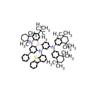 CC(C)(C)c1cc2c3c(c1)C1(C)CCCCC1(C)N3c1cc(-c3ccccc3)cc3c1B2c1ccc(N(c2ccc4c(c2)C(C)(C)CCC4(C)C)c2ccc4c(c2)C(C)(C)CCC4(C)C)cc1N3c1cccc2c1sc1ccccc12